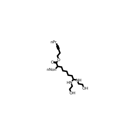 CCCC#CCCOC(=O)C(CCCCCCCCC)CCCCCC(NCCO)NCCO